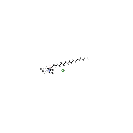 CCCCCCCCCCCCCCCCCCOC(CC)[N+](C)(C)C.[Cl-]